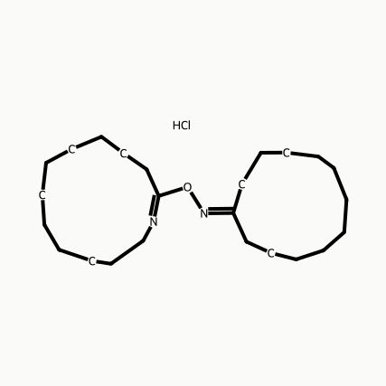 C1CCCCCC(=NOC2=NCCCCCCCCCCC2)CCCCC1.Cl